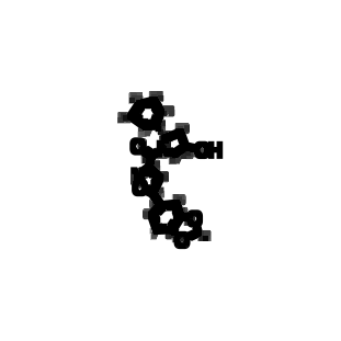 O=C(c1cc(-c2ccc3c(c2)OCO3)on1)N1CC(O)C[C@H]1c1ccccc1